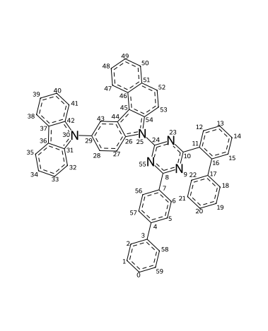 c1ccc(-c2ccc(-c3nc(-c4ccccc4-c4ccccc4)nc(-n4c5ccc(-n6c7ccccc7c7ccccc76)cc5c5c6ccccc6ccc54)n3)cc2)cc1